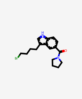 O=C(c1ccc2[nH]cc(CCCCBr)c2c1)N1CCCC1